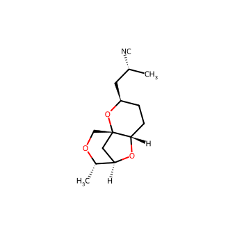 [C-]#[N+][C@H](C)C[C@H]1CC[C@@H]2O[C@@H]3C[C@]2(CO[C@H]3C)O1